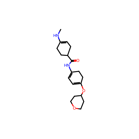 CNC1=CCC(C(=O)NC2=CC=C(OC3CCOCC3)CC2)CC1